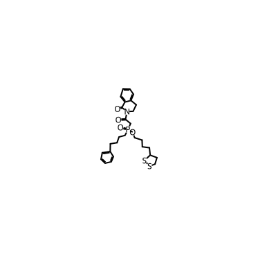 O=C(CP(=O)(CCCCc1ccccc1)OCCCCC1CCSS1)N1CCc2ccccc2C1=O